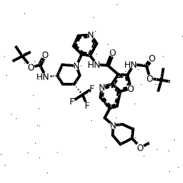 COC1CCN(Cc2cnc3c(C(=O)Nc4cnccc4N4C[C@@H](NC(=O)OC(C)(C)C)C[C@@H](C(F)(F)F)C4)c(NC(=O)OC(C)(C)C)oc3c2)CC1